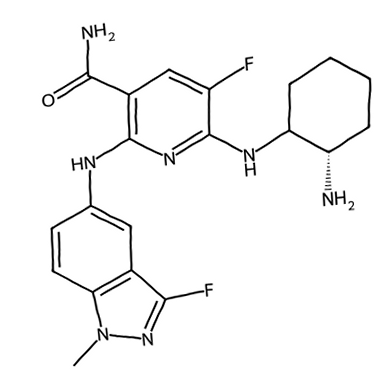 Cn1nc(F)c2cc(Nc3nc(NC4CCCC[C@@H]4N)c(F)cc3C(N)=O)ccc21